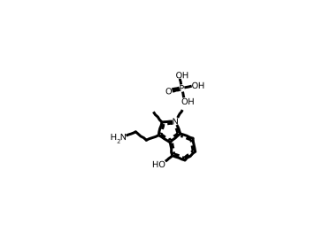 Cc1c(CCN)c2c(O)cccc2n1C.O=P(O)(O)O